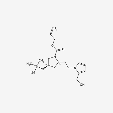 C=CCOC(=O)N1C[C@H](O[Si](C)(C)C(C)(C)C)C[C@H]1CCn1cncc1CO